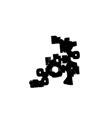 Cc1sc(Br)nc1C(=O)Nc1cnn(C2CC2)c1N1CCN(C(=O)OC(C)(C)C)CC(F)(F)C1